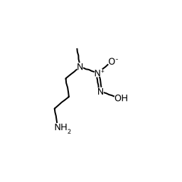 CN(CCCN)[N+]([O-])=NO